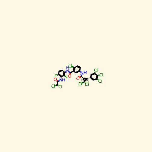 O=C(Nc1ccc(F)c(NC(=O)C(Cl)Cl)c1F)c1cc(NC(=O)[C@H]2[C@H](c3cc(Cl)c(Cl)c(Cl)c3)C2(Cl)Cl)ccc1Cl